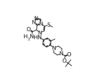 CSC1=CN(Nc2ccc(N3CCN(C(=O)OC(C)(C)C)CC3)c(C)c2)C(C(N)=O)c2nncn21